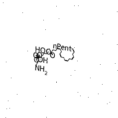 CCCCC/C=C\C/C=C\C/C=C\C/C=C\C/C=C\CCC(=O)OC[C@@H](O)COP(=O)(O)OCCN